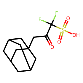 O=C(CC12CC3CC(CC(C3)C1)C2)C(F)(F)S(=O)(=O)O